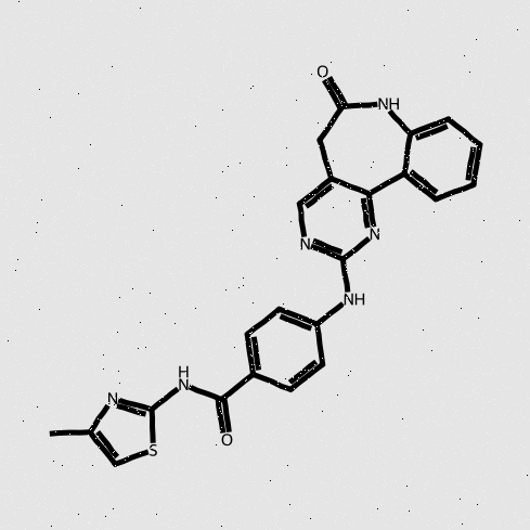 Cc1csc(NC(=O)c2ccc(Nc3ncc4c(n3)-c3ccccc3NC(=O)C4)cc2)n1